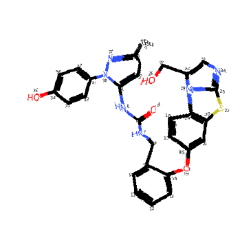 CC(C)(C)c1cc(NC(=O)NCc2ccccc2Oc2ccc3c(c2)sc2ncc(CO)n23)n(-c2ccc(O)cc2)n1